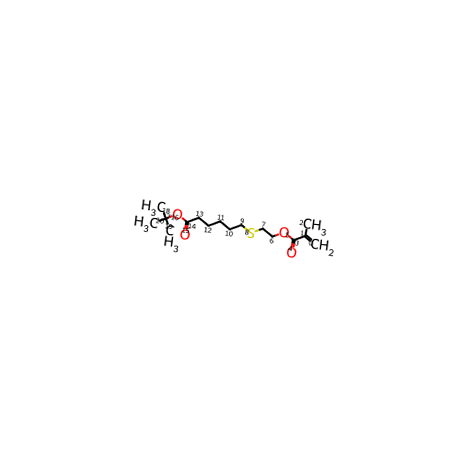 C=C(C)C(=O)OCCSCCCCCC(=O)OC(C)(C)C